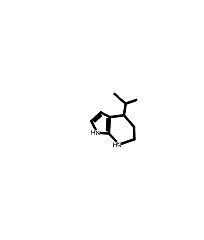 CC(C)C1CCNc2[nH]ccc21